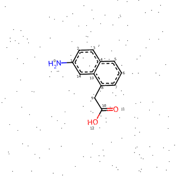 Nc1ccc2cccc(CC(=O)O)c2c1